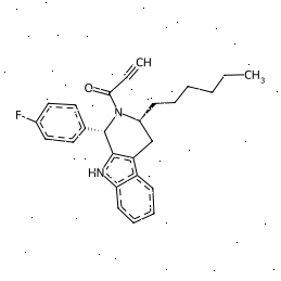 C#CC(=O)N1[C@@H](CCCCCC)Cc2c([nH]c3ccccc23)[C@@H]1c1ccc(F)cc1